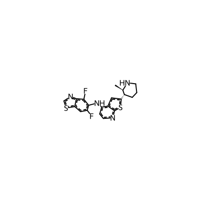 C[C@H]1NCCC[C@@H]1c1cc2c(Nc3c(F)cc4scnc4c3F)ccnc2s1